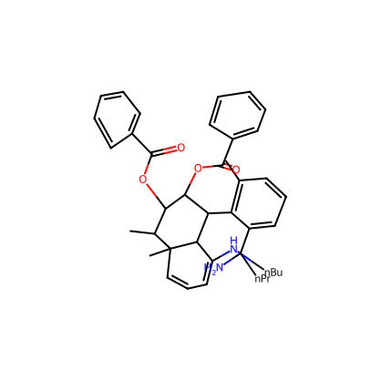 CCCCNC1=CC=CC2(C)C(C)C(OC(=O)c3ccccc3)C(OC(=O)c3ccccc3)C(c3c(C)cccc3C(N)CCC)C12